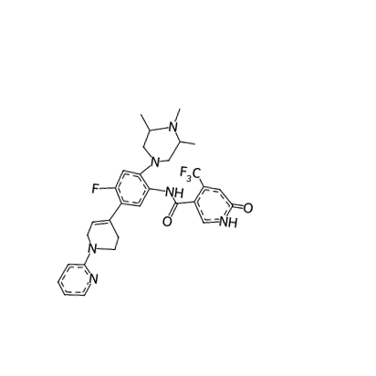 CC1CN(c2cc(F)c(C3=CCN(c4ccccn4)CC3)cc2NC(=O)c2c[nH]c(=O)cc2C(F)(F)F)CC(C)N1C